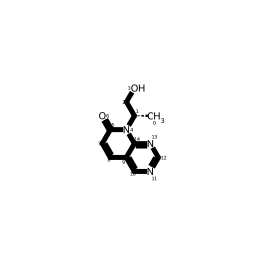 C[C@@H](CO)n1c(=O)ccc2cncnc21